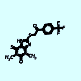 Cn1c(=S)c2[nH]c(SCC(=O)c3ccc(C(F)(F)F)cc3)nc2n(C)c1=O